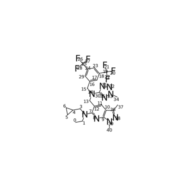 CCN(CC1CC1)c1nc2c(cc1CN(Cc1cc(C(F)(F)F)cc(C(F)(F)F)c1)c1nnn(C)n1)c(C)nn2C